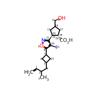 C=CC(C)CC1CC(c2onc([C@H]3CC(CO)C[C@@H]3C(=O)O)c2I)C1